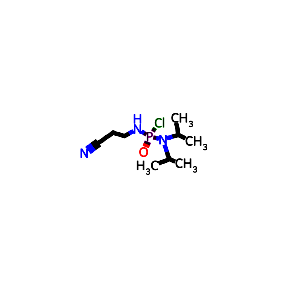 CC(C)N(C(C)C)P(=O)(Cl)NCCC#N